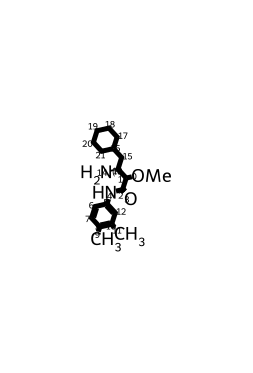 COC(C(=O)Nc1ccc(C)c(C)c1)[C@H](N)CC1CCCCC1